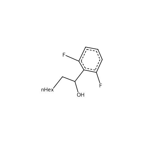 CCCCCCCC(O)c1c(F)cccc1F